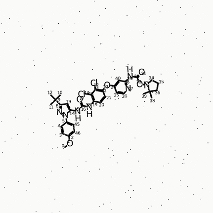 COc1ccc(-n2nc(C(C)(C)C)cc2NC(=O)Nc2ccc(Oc3ccnc(NC(=O)ON4CCCC4(C)C)c3)c(Cl)c2Cl)cc1